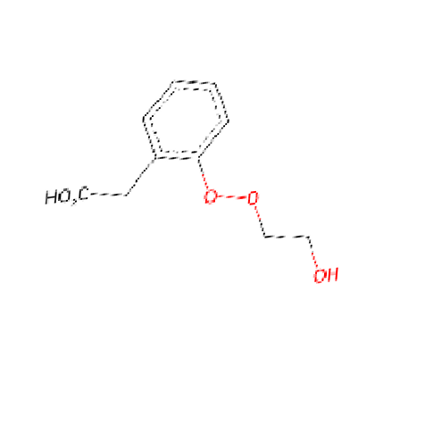 O=C(O)Cc1ccccc1OOCCO